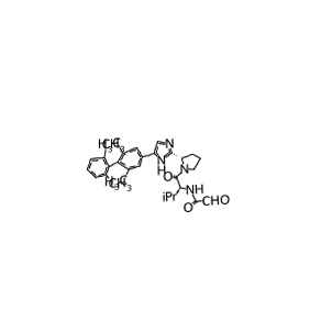 Cc1cccc(C)c1-c1c(C)cc(-c2cnc([C@@H]3CCCN3C(=O)[C@@H](NC(=O)C=O)C(C)C)[nH]2)cc1C